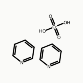 [O]=[Cr](=[O])([OH])[OH].c1ccncc1.c1ccncc1